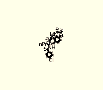 CCCC(NC(=S)c1ccc(Cl)cc1)N(Cc1ccc2c(c1)NC(=S)C(C)O2)C(=O)OC(C)(C)C